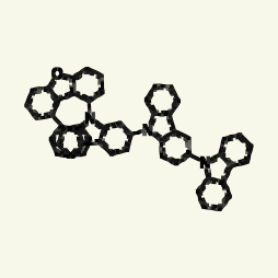 c1ccc(-c2cccc3oc4cccc(-n5c6ccccc6c6ccc(-n7c8ccccc8c8cc(-n9c%10ccccc%10c%10ccccc%109)ccc87)cc65)c4c23)cc1